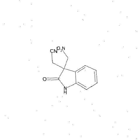 N#CCC1(C[N+](=O)[O-])C(=O)Nc2ccccc21